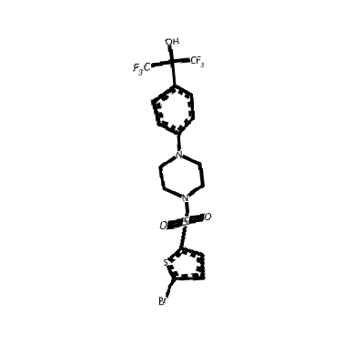 O=S(=O)(c1ccc(Br)s1)N1CCN(c2ccc(C(O)(C(F)(F)F)C(F)(F)F)cc2)CC1